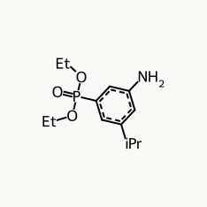 CCOP(=O)(OCC)c1cc(N)cc(C(C)C)c1